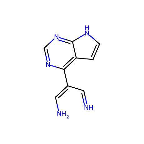 N=C/C(=C\N)c1ncnc2[nH]ccc12